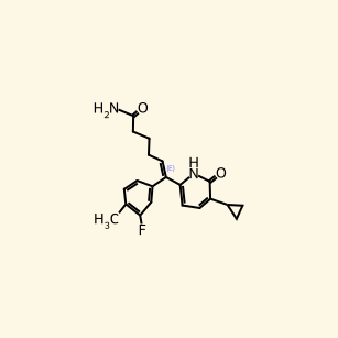 Cc1ccc(/C(=C\CCCC(N)=O)c2ccc(C3CC3)c(=O)[nH]2)cc1F